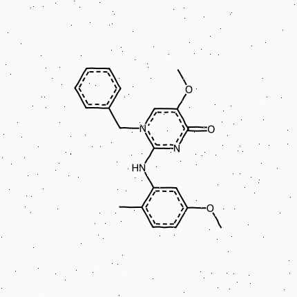 COc1ccc(C)c(Nc2nc(=O)c(OC)cn2Cc2ccccc2)c1